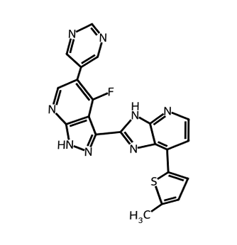 Cc1ccc(-c2ccnc3[nH]c(-c4n[nH]c5ncc(-c6cncnc6)c(F)c45)nc23)s1